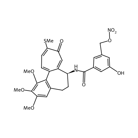 COc1cc2c(c(OC)c1OC)-c1ccc(SC)c(=O)cc1[C@@H](NC(=O)c1cc(O)cc(CO[N+](=O)[O-])c1)CC2